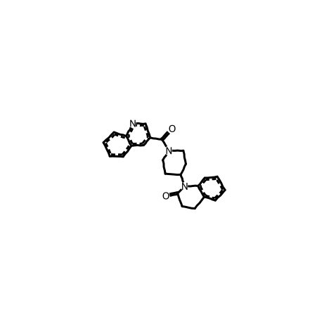 O=C(c1cnc2ccccc2c1)N1CCC(N2C(=O)CCc3ccccc32)CC1